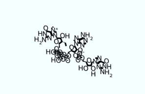 CC[C@H]1[C@@H](O)[C@H](n2c[n+](C)c3c(=O)[nH]c(N)nc32)O[C@@H]1COP(=O)(O)OP(=O)(O)OP(=O)(O)OC[C@H]1O[C@@H](n2cnc3c(N)ncnc32)[C@H](OC)[C@@H]1OP(=O)([O-])OC[C@H]1O[C@@H](n2cnc3c(=O)[nH]c(N)nc32)[C@H](O)[C@@H]1O